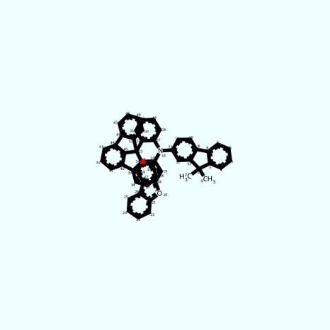 CC1(C)c2ccccc2-c2ccc(N(c3ccc4c(c3)oc3ccccc34)c3ccccc3C34c5ccccc5-c5cccc(c53)-c3ccccc34)cc21